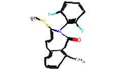 Cc1cccc2cc(SC(C)C)n(-c3c(F)cccc3F)c(=O)c12